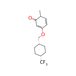 CC1C=CC(OC[C@H]2CC[C@@H](C(F)(F)F)CC2)=CC1=O